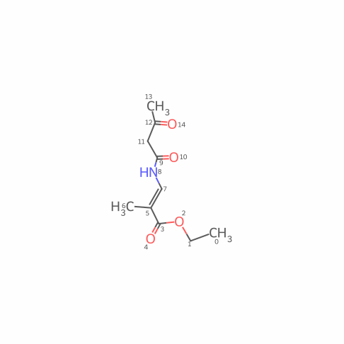 CCOC(=O)C(C)=CNC(=O)CC(C)=O